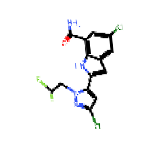 NC(=O)c1cc(Cl)cc2cc(-c3cc(Cl)nn3CC(F)F)[nH]c12